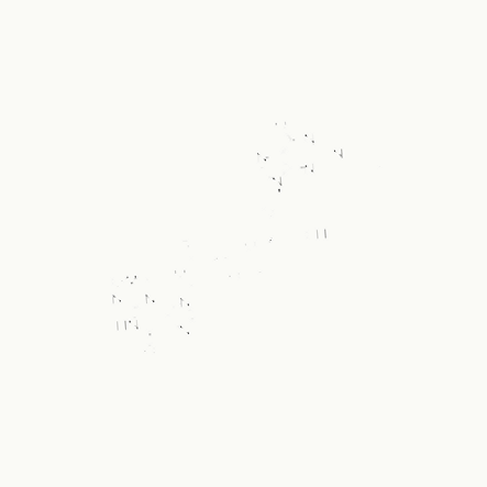 CC[C@H]1O[C@@H](n2cnc3c(=O)[nH]c(NOC)nc32)C[C@@H]1O[P@](O)(=S)OC[C@H]1O[C@@H](n2cnc3c(=O)[nH]c(NCC(C)C)nc32)C[C@@H]1C